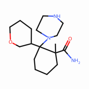 CC1(C(N)=O)CCCCC1(C1CCCOC1)N1CCNCC1